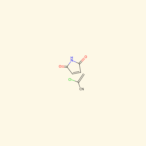 C=C(Cl)C#N.O=C1C=CC(=O)N1